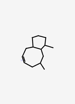 CC1C/C=C\CC2[CH]CCC(C)C2C1